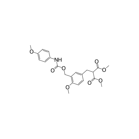 COC(=O)C(Cc1ccc(OC)c(COC(=O)Nc2ccc(OC)cc2)c1)C(=O)OC